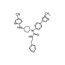 Cn1cc(-c2ccc(N(C(=O)NCCc3ccccc3)[C@H]3CC[C@H](Nc4ccc(C#N)cn4)CC3)cc2)cn1